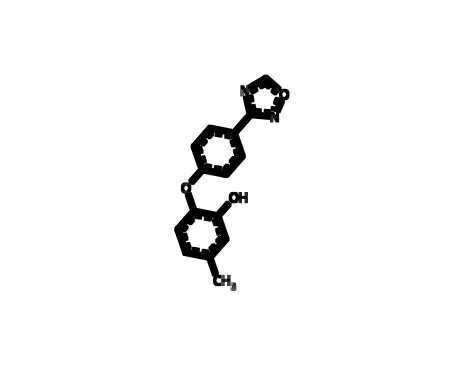 Cc1ccc(Oc2ccc(-c3ncon3)cc2)c(O)c1